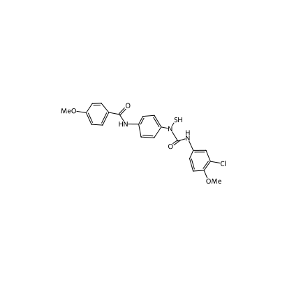 COc1ccc(C(=O)Nc2ccc(N(S)C(=O)Nc3ccc(OC)c(Cl)c3)cc2)cc1